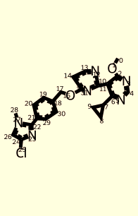 COc1ncnc(C2CC2)c1-c1nccc(OCc2ccc(-c3nc(Cl)cn3C)cc2)n1